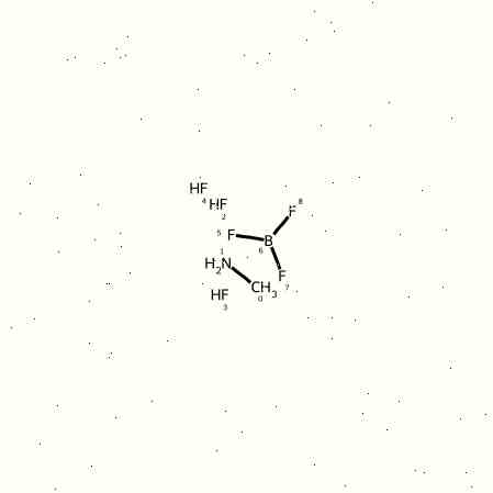 CN.F.F.F.FB(F)F